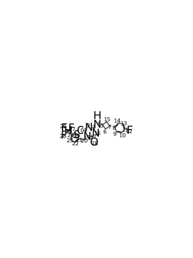 Cc1nc(N[C@H]2C[C@@H](c3ccc(F)cc3)C2)nc(=O)n1Cc1ccc(C(F)(F)F)s1